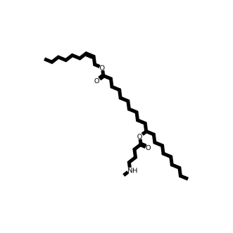 CCCCCC/C=C\COC(=O)CCCCCCCCCC(CCCCCCCCC)OC(=O)CCCNC